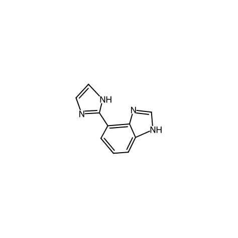 c1cc(-c2ncc[nH]2)c2nc[nH]c2c1